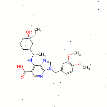 CC[C@@]1(O)CCC[C@H]([C@H](C)Nc2c(C(=O)O)cnc3c2ncn3Cc2ccc(OC)c(OC)c2)C1